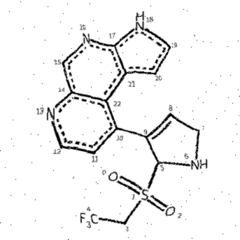 O=S(=O)(CC(F)(F)F)C1NCC=C1c1ccnc2cnc3[nH]ccc3c12